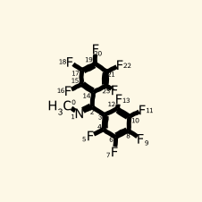 CN=C(c1c(F)c(F)c(F)c(F)c1F)c1c(F)c(F)c(F)c(F)c1F